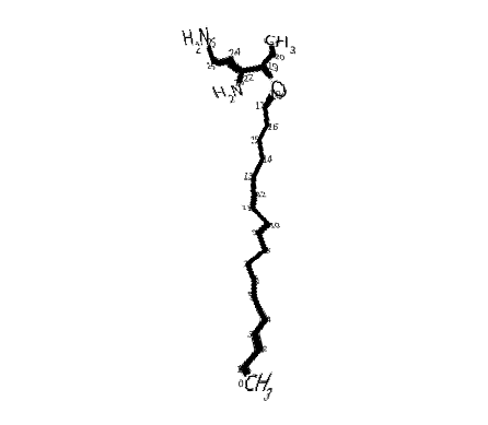 CCCCCCCCCCCCCCCCCCOC(CC)C(N)=CCN